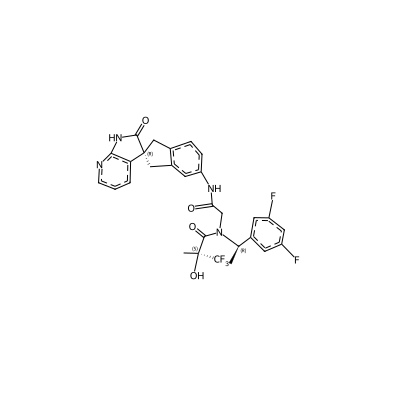 C[C@H](c1cc(F)cc(F)c1)N(CC(=O)Nc1ccc2c(c1)C[C@@]1(C2)C(=O)Nc2ncccc21)C(=O)[C@](C)(O)C(F)(F)F